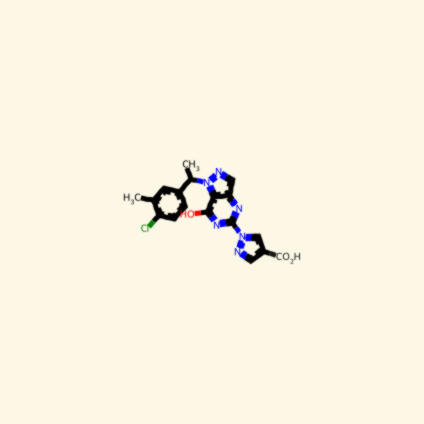 Cc1cc(C(C)n2ncc3nc(-n4cc(C(=O)O)cn4)nc(O)c32)ccc1Cl